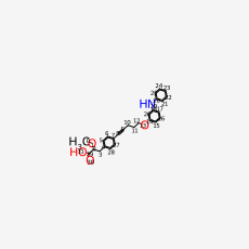 COC(Cc1ccc(C#CCCCOc2cccc(Nc3ccccc3)c2)cc1)C(=O)O